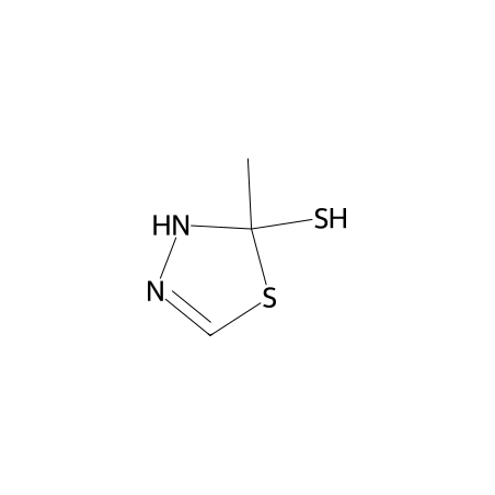 CC1(S)NN=CS1